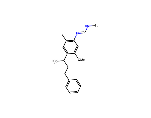 CCN/C=N/c1cc(OC)c(C(CCc2ccccc2)C(F)(F)F)cc1C